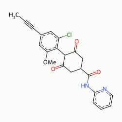 CC#Cc1cc(Cl)c(C2C(=O)CC(C(=O)Nc3ccccn3)CC2=O)c(OC)c1